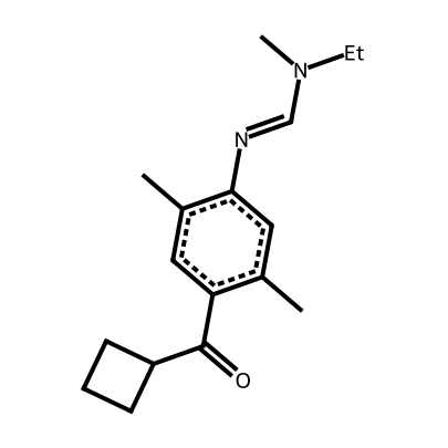 CCN(C)/C=N/c1cc(C)c(C(=O)C2CCC2)cc1C